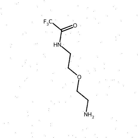 NCCOCCNC(=O)C(F)(F)F